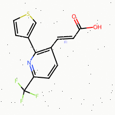 O=C(O)/C=C/c1ccc(C(F)(F)F)nc1-c1ccsc1